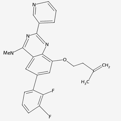 C=C(C)CCOc1cc(-c2cccc(F)c2F)cc2c(NC)nc(-c3cccnc3)nc12